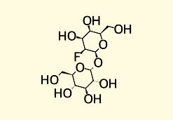 OC[C@H]1O[C@@H](O[C@H]2O[C@H](CO)[C@@H](O)[C@H](O)[C@H]2O)[C@@H](F)[C@@H](O)[C@H]1O